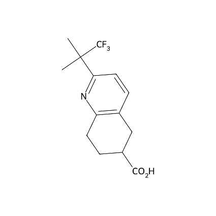 CC(C)(c1ccc2c(n1)CCC(C(=O)O)C2)C(F)(F)F